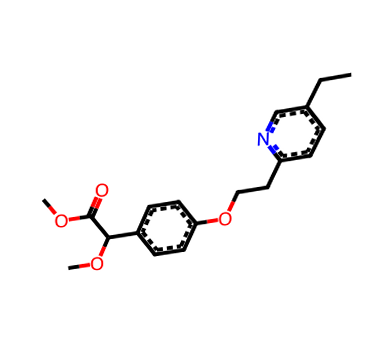 CCc1ccc(CCOc2ccc(C(OC)C(=O)OC)cc2)nc1